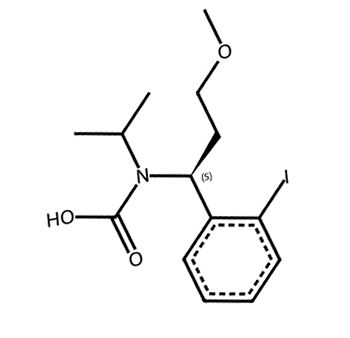 COCC[C@@H](c1ccccc1I)N(C(=O)O)C(C)C